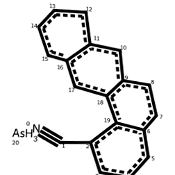 N#Cc1cccc2ccc3cc4ccccc4cc3c12.[AsH3]